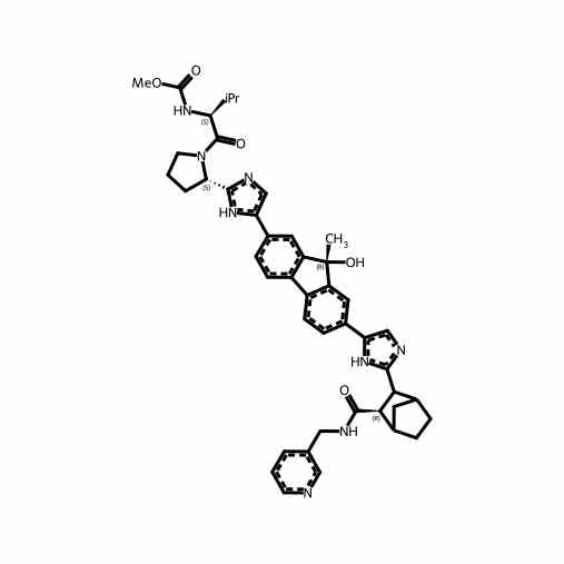 COC(=O)N[C@H](C(=O)N1CCC[C@H]1c1ncc(-c2ccc3c(c2)[C@](C)(O)c2cc(-c4cnc(C5C6CCC(C6)[C@H]5C(=O)NCc5cccnc5)[nH]4)ccc2-3)[nH]1)C(C)C